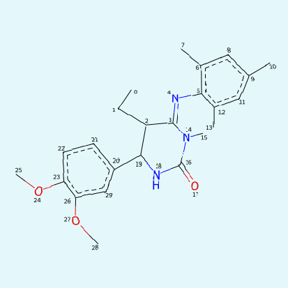 CCC1C(=Nc2c(C)cc(C)cc2C)N(C)C(=O)NC1c1ccc(OC)c(OC)c1